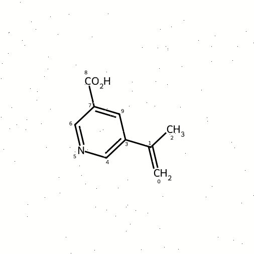 C=C(C)c1cncc(C(=O)O)c1